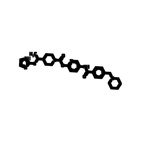 CC(Sc1ncc[nH]1)C1CCN(C(=O)Oc2ccc(NC(=O)c3ccc(CN4CCCCC4)cc3)cn2)CC1